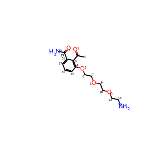 CC(=O)c1c(OCCOCCOCCN)cccc1C(N)=O